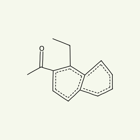 CCc1c(C(C)=O)ccc2ccccc12